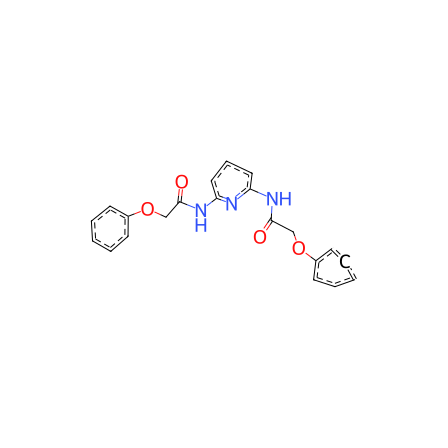 O=C(COc1ccccc1)Nc1cccc(NC(=O)COc2ccccc2)n1